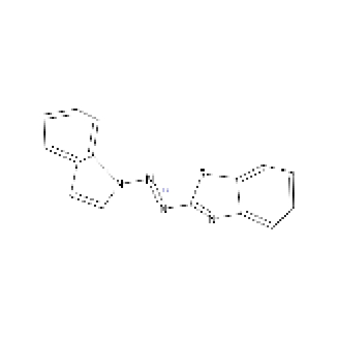 c1ccc2c(c1)ccn2/N=N/c1nc2ccccc2s1